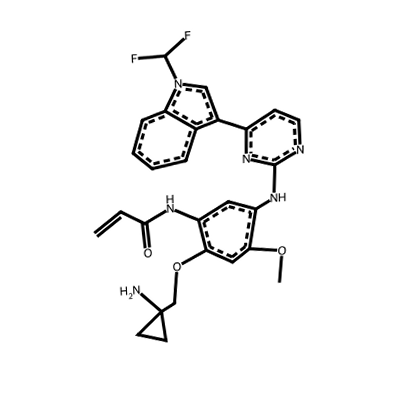 C=CC(=O)Nc1cc(Nc2nccc(-c3cn(C(F)F)c4ccccc34)n2)c(OC)cc1OCC1(N)CC1